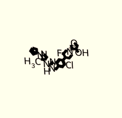 Cc1c(Nc2ncc3cc(Cl)c(C4CCN([C@@H]5COCC5O)CC4F)cc3n2)cnn1C12CCC(C1)C2